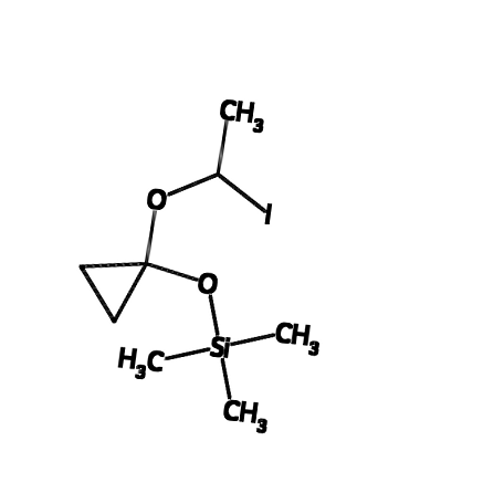 CC(I)OC1(O[Si](C)(C)C)CC1